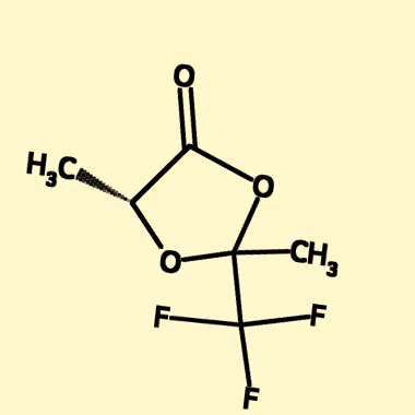 C[C@H]1OC(C)(C(F)(F)F)OC1=O